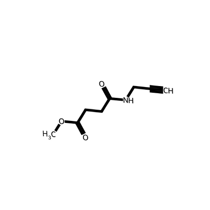 C#CCNC(=O)CCC(=O)OC